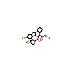 COc1cc2c(cc1Cl)CC[C@H]2N(C(=O)c1ccccc1)C(C(N)=O)c1ccccc1